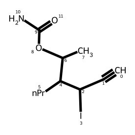 C#CC(I)C(CCC)C(C)OC(N)=O